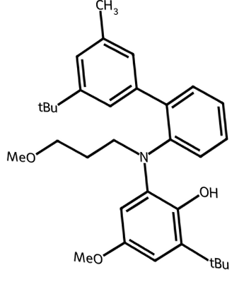 COCCCN(c1ccccc1-c1cc(C)cc(C(C)(C)C)c1)c1cc(OC)cc(C(C)(C)C)c1O